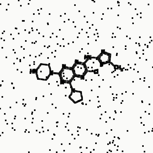 Cc1cnc(Nc2nc3nc(N4CCNCC4)nc(N4CCCC4)c3nc2Cl)s1